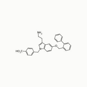 NCCc1cn(Cc2ccc(C(=O)O)cc2)c2ccc(OCc3ccccc3-c3ccccc3)cc12